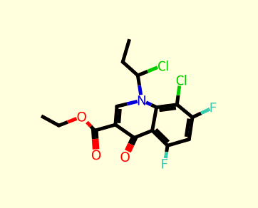 CCOC(=O)c1cn(C(Cl)CC)c2c(Cl)c(F)cc(F)c2c1=O